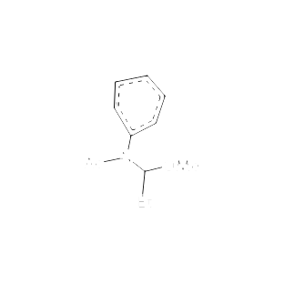 CCC(OC)N(C(C)=O)c1ccccc1